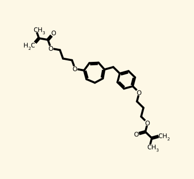 C=C(C)C(=O)OCCCOC1=CCC=C(Cc2ccc(OCCCOC(=O)C(=C)C)cc2)C=C1